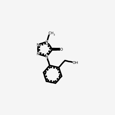 Cn1nnn(-c2ccccc2CO)c1=O